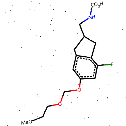 COCCOCOc1cc(F)c2c(c1)CC(CNC(=O)O)C2